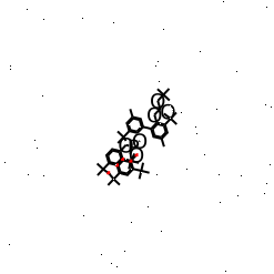 Cc1cc(-c2cc(C)cc(C(C)(C)C)c2OP(Oc2ccc(C(C)(C)C)cc2C(C)(C)C)Oc2ccc(C(C)(C)C)cc2C(C)(C)C)c(OC(=O)OC(C)(C)C)c(C(C)(C)C)c1